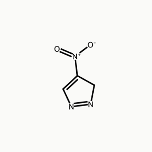 O=[N+]([O-])C1=CN=NC1